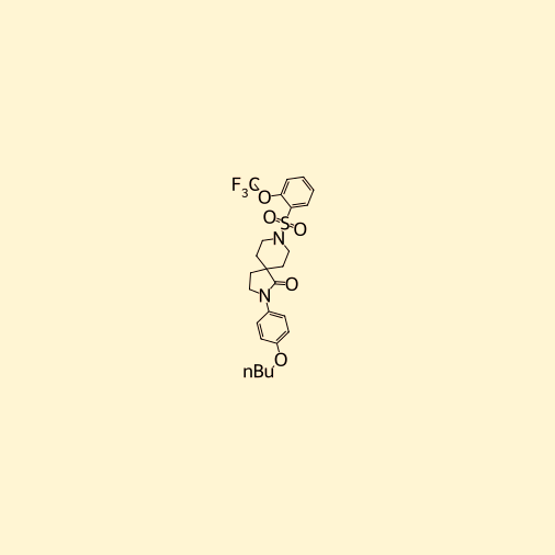 CCCCOc1ccc(N2CCC3(CCN(S(=O)(=O)c4ccccc4OC(F)(F)F)CC3)C2=O)cc1